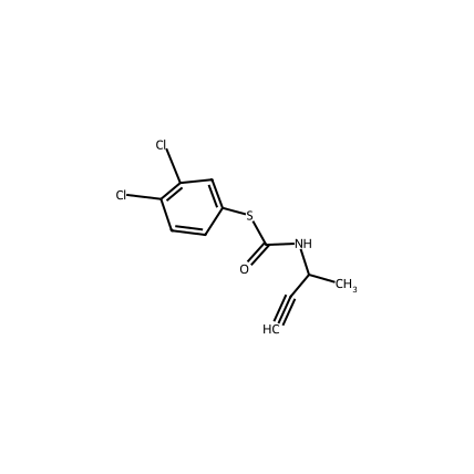 C#CC(C)NC(=O)Sc1ccc(Cl)c(Cl)c1